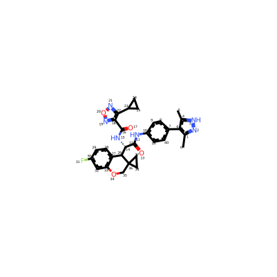 Cc1n[nH]c(C)c1-c1ccc(NC(=O)[C@@H](NC(=O)c2nonc2C2CC2)C2c3ccc(F)cc3OCC23CC3)cc1